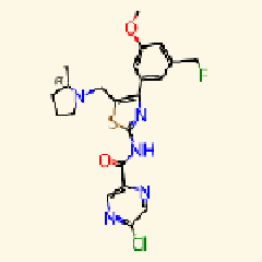 COc1cc(CF)cc(-c2nc(NC(=O)c3cnc(Cl)cn3)sc2CN2CCC[C@H]2C)c1